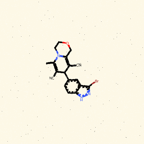 CC1=C(C#N)C(c2ccc3[nH]nc(Br)c3c2)C(C#N)=C2COCCN12